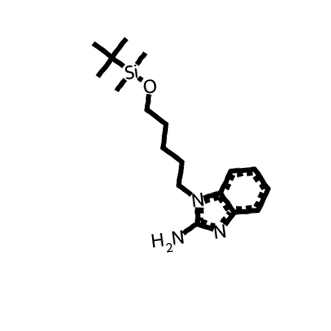 CC(C)(C)[Si](C)(C)OCCCCCn1c(N)nc2ccccc21